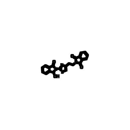 O=C1c2ccccc2C(=O)N1CCc1csc(N2C(=O)c3ccccc3C2O)n1